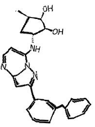 [CH2][C@@H]1C[C@@H](Nc2ccnc3cc(-c4cccc(-c5ccccc5)c4)nn23)[C@H](O)[C@@H]1O